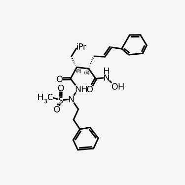 CC(C)C[C@@H](C(=O)NN(CCc1ccccc1)S(C)(=O)=O)[C@H](CC=Cc1ccccc1)C(=O)NO